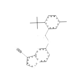 C[C@@H](Nc1ccn2ncc(C#N)c2n1)c1cc(F)ccc1C(C)(F)F